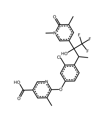 Cc1cc(C(=O)O)cnc1Oc1ccc(C(C)C(O)(c2cc(C)c(=O)n(C)c2)C(F)(F)F)c(Cl)c1